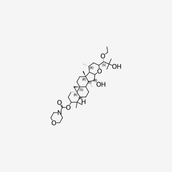 CCO[C@@H](C1C[C@@H](C)C2C(O1)[C@H](O)[C@@]1(C)C3CC[C@H]4C(C)(C)C(OC(=O)N5CCOCC5)CC[C@@]45C[C@@]35CC[C@]21C)C(C)(C)O